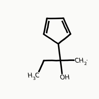 [CH2]C(O)(CC)C1C=CC=C1